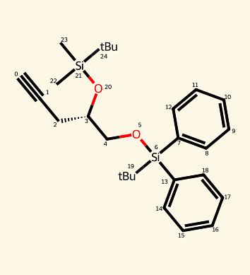 C#CC[C@@H](CO[Si](c1ccccc1)(c1ccccc1)C(C)(C)C)O[Si](C)(C)C(C)(C)C